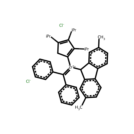 Cc1ccc2c(c1)[CH]([Zr+2]([C]1=C(C(C)C)C(C(C)C)=C(C(C)C)C1)=[C](c1ccccc1)c1ccccc1)c1cc(C)ccc1-2.[Cl-].[Cl-]